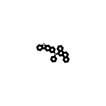 c1ccc(N(c2ccc3cc4oc5ccccc5c4cc3c2)c2cc3c4ccccc4ccc3c3ccccc23)cc1